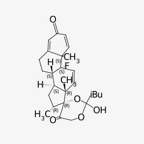 CCC(C)C1(O)OCC(=O)[C@@]2(O1)[C@H](C)C[C@H]1[C@@H]3CCC4=CC(=O)C=C[C@]4(C)[C@@]3(F)C=C[C@@]12C